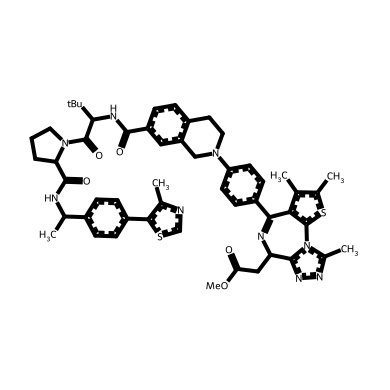 COC(=O)CC1N=C(c2ccc(N3CCc4ccc(C(=O)NC(C(=O)N5CCCC5C(=O)NC(C)c5ccc(-c6scnc6C)cc5)C(C)(C)C)cc4C3)cc2)c2c(sc(C)c2C)-n2c(C)nnc21